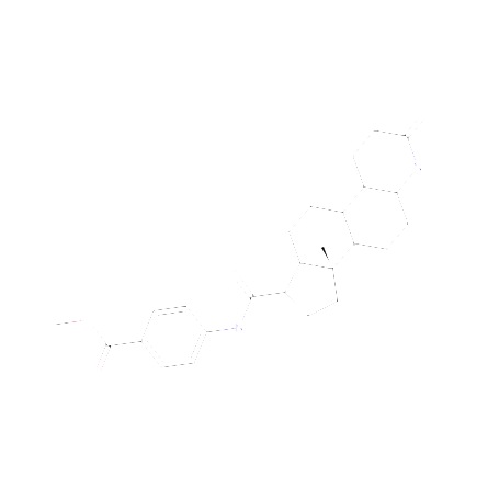 COC(=O)c1ccc(NC(=O)C2CC[C@H]3[C@@H]4CCC5NC(=O)CC[C@]5(C)[C@@H]4CC[C@]23C)cc1